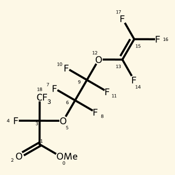 COC(=O)C(F)(OC(F)(F)C(F)(F)OC(F)=C(F)F)C(F)(F)F